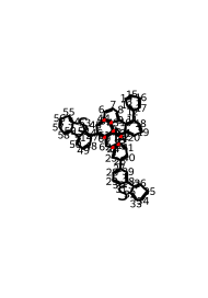 c1ccc(-c2ccccc2-c2c(-c3ccccc3)cccc2N(c2ccc(-c3ccc4sc5ccccc5c4c3)cc2)c2cccc(-c3cccc4c3sc3ccccc34)c2)cc1